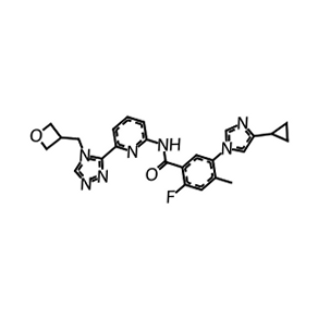 Cc1cc(F)c(C(=O)Nc2cccc(-c3nncn3CC3COC3)n2)cc1-n1cnc(C2CC2)c1